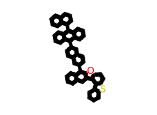 c1ccc2c(-c3c4ccccc4c(-c4ccc5cc(-c6c7ccccc7cc7c6oc6ccc8sc9ccccc9c8c67)ccc5c4)c4ccccc34)cccc2c1